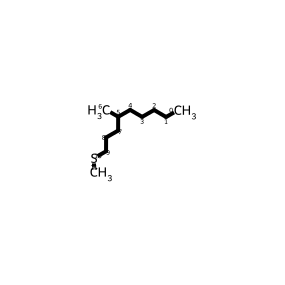 CCCCCC(C)CCCSC